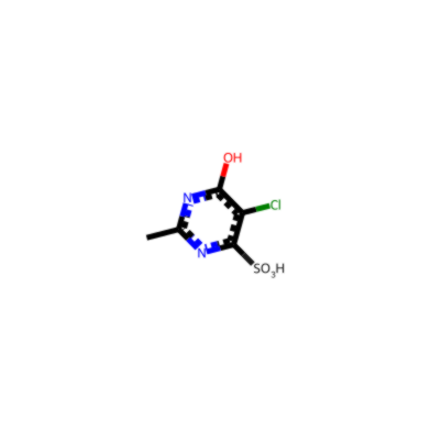 Cc1nc(O)c(Cl)c(S(=O)(=O)O)n1